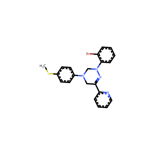 CSc1ccc(N2CC(c3ccccn3)=NN(c3ccccc3Br)C2)cc1